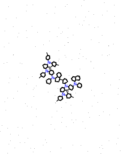 Cc1ccc(N2c3ccc(C)cc3B3c4ccc(N(c5ccccc5)c5cccc6ccccc56)cc4N(c4cccc(-c5ccc(N(c6ccccc6)c6ccc7c(c6)N(c6ccc(C)cc6)c6cccc8c6B7c6cc(C)ccc6N8c6ccc(C)cc6)c6ccccc56)c4)c4cccc2c43)cc1